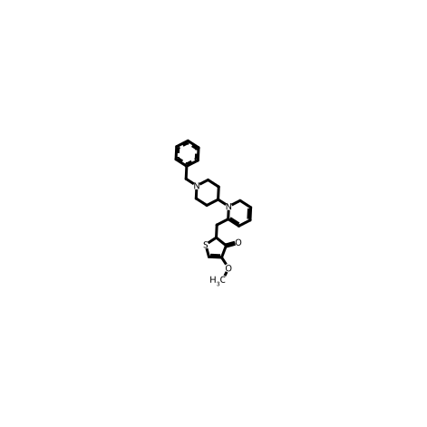 COC1=CSC(CC2=CC=CCN2C2CCN(Cc3ccccc3)CC2)C1=O